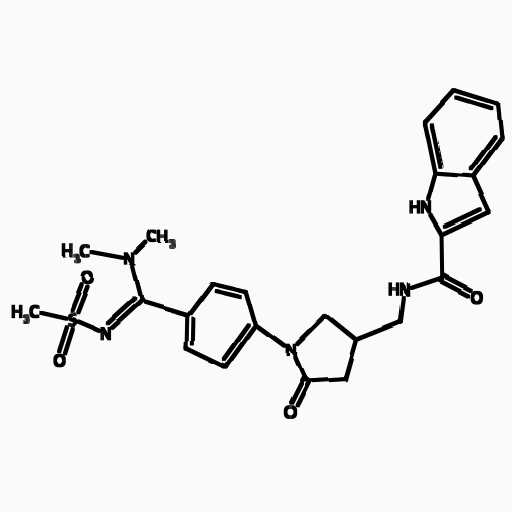 CN(C)C(=NS(C)(=O)=O)c1ccc(N2CC(CNC(=O)c3cc4ccccc4[nH]3)CC2=O)cc1